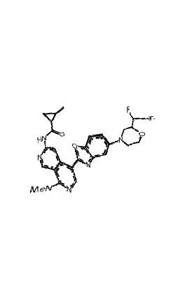 CNc1ncc(-c2nc3cc(N4CCOC(C(F)F)C4)ccc3o2)c2cc(NC(=O)C3CC3C)ncc12